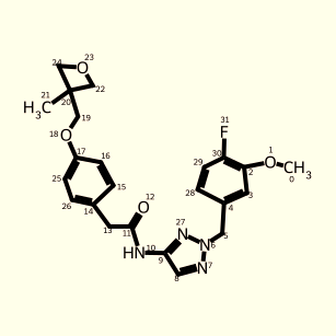 COc1cc(Cn2ncc(NC(=O)Cc3ccc(OCC4(C)COC4)cc3)n2)ccc1F